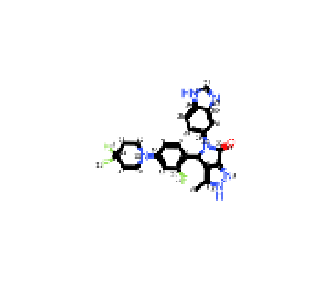 Cc1[nH]nc2c1C(c1ccc(N3CCC(F)(F)CC3)cc1F)N(c1ccc3[nH]cnc3c1)C2=O